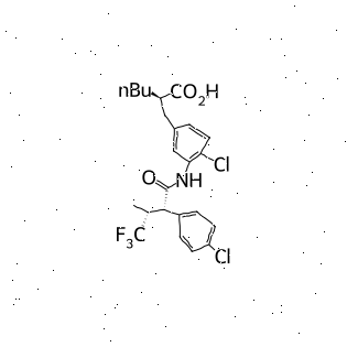 CCCC[C@H](Cc1ccc(Cl)c(NC(=O)[C@H](c2ccc(Cl)cc2)[C@@H](C)C(F)(F)F)c1)C(=O)O